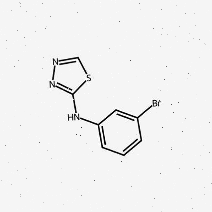 Brc1cccc(Nc2nncs2)c1